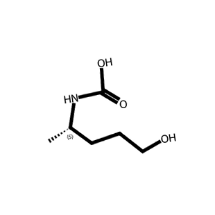 C[C@@H](CCCO)NC(=O)O